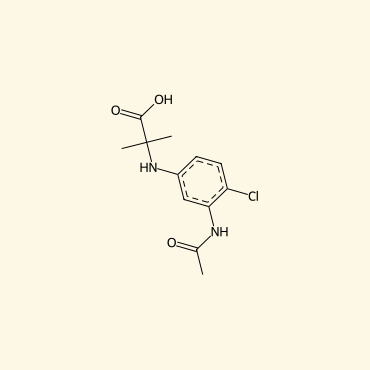 CC(=O)Nc1cc(NC(C)(C)C(=O)O)ccc1Cl